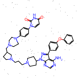 Nc1ncnc2c1c(-c1ccc(Oc3ccccc3)cc1)nn2C1CCN(CCCN2CCC(CN3CCN(c4ccc(-n5ccc(=O)[nH]c5=O)cc4)CC3)C2)CC1